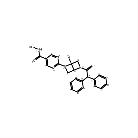 O=C(NO)c1cnc(N2CC3[C@H]2CN3C(=O)C(c2ccccc2)c2ccccc2)nc1